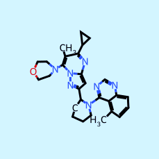 Cc1c(C2CC2)nc2cc(C3CCCCN3c3ncnc4cccc(C)c34)nn2c1N1CCOCC1